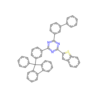 c1ccc(-c2cccc(-c3nc(-c4cccc(C5(c6ccccc6)c6ccccc6-c6ccccc65)c4)nc(-c4cc5ccccc5s4)n3)c2)cc1